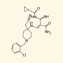 N#CCC1(N/C=C(\C(=N)NC(=O)C2CC2)C(N)=O)CCN(Cc2ccccc2Cl)CC1